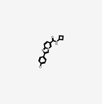 O=C(NC1CCC1)c1ccc2nc(-c3ccc(Cl)cc3)cn2c1